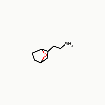 [SiH3]CCC1CC2CCC1O2